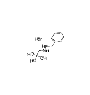 Br.OC(O)(O)CNPCc1ccccc1